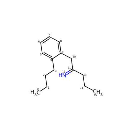 CCCCc1cc[c]cc1CC(=N)CCC